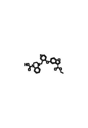 CCOC(=O)c1coc2ccc(Oc3ccncc3CN3CCN(C(=O)O)c4ccccc43)cc12